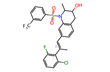 C/C(=C\c1ccc2c(c1)N(S(=O)(=O)c1cccc(C(F)(F)F)c1)C(C)C(O)C2)c1c(F)cccc1Cl